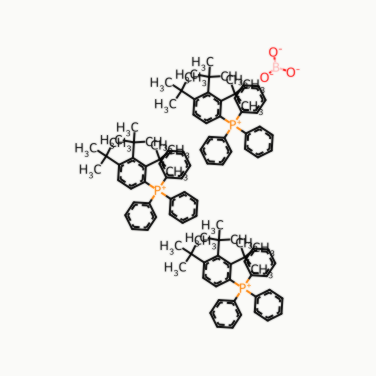 CC(C)(C)c1ccc([P+](c2ccccc2)(c2ccccc2)c2ccccc2)c(C(C)(C)C)c1C(C)(C)C.CC(C)(C)c1ccc([P+](c2ccccc2)(c2ccccc2)c2ccccc2)c(C(C)(C)C)c1C(C)(C)C.CC(C)(C)c1ccc([P+](c2ccccc2)(c2ccccc2)c2ccccc2)c(C(C)(C)C)c1C(C)(C)C.[O-]B([O-])[O-]